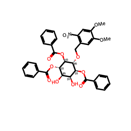 COc1cc(CO[C@H]2[C@H](OC(=O)c3ccccc3)[C@@H](OC(=O)c3ccccc3)[C@H](O)[C@H](O)[C@@H]2OC(=O)c2ccccc2)c([N+](=O)[O-])cc1OC